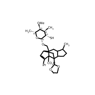 CO[C@H]1[C@@H](C)[C@H](S)[C@H](OCC23CC4C(C)CCC4C4(C5OCCO5)CC2C=C(C(C)C)C34C(=O)O)O[C@@H]1C